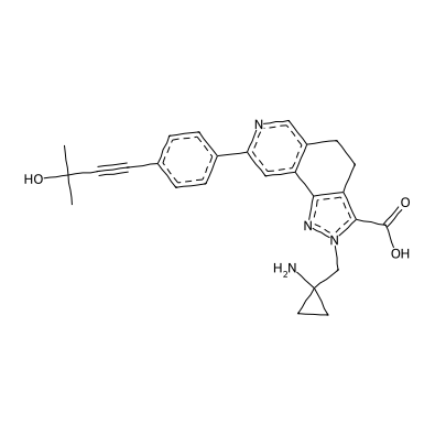 CC(C)(O)C#Cc1ccc(-c2cc3c(cn2)CCc2c-3nn(CC3(N)CC3)c2C(=O)O)cc1